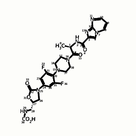 C[C@@H](NC(=O)c1cn2cccnc2n1)C(=O)N1CCN(c2c(F)cc(N3C[C@H](CNC(=O)O)OC3=O)cc2F)CC1